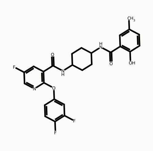 Cc1ccc(O)c(C(=O)NC2CCC(NC(=O)c3cc(F)cnc3Oc3ccc(F)c(F)c3)CC2)c1